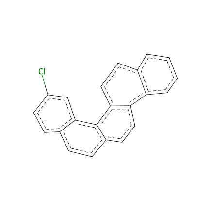 Clc1ccc2ccc3ccc4c5ccccc5ccc4c3c2c1